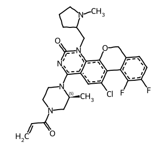 C=CC(=O)N1CCN(c2nc(=O)n(CC3CCCN3C)c3c4c(c(Cl)cc23)-c2c(ccc(F)c2F)CO4)[C@@H](C)C1